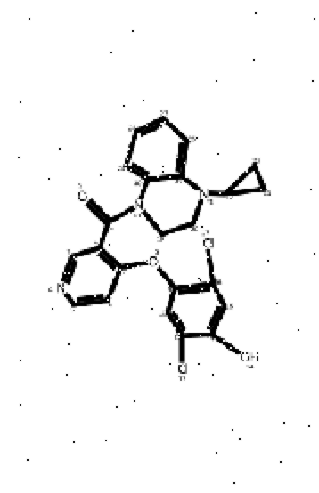 O=C(c1cnccc1Oc1cc(Cl)c(O)cc1Cl)N1CCN(C2CC2)c2ccccc21